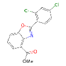 COC(=O)c1cccc2oc(-c3ccc(Cl)cc3Cl)nc12